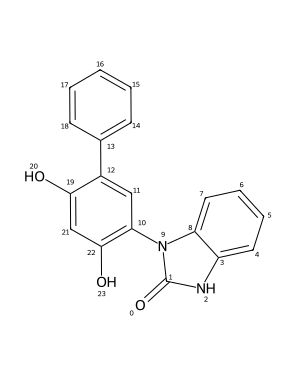 O=c1[nH]c2ccccc2n1-c1cc(-c2ccccc2)c(O)cc1O